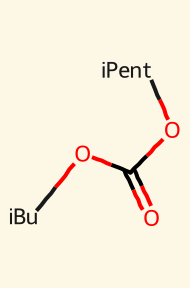 CCCC(C)OC(=O)OC(C)CC